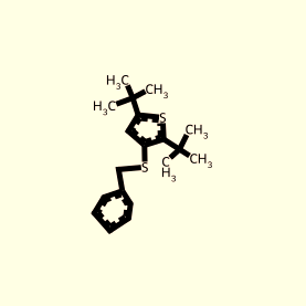 CC(C)(C)c1cc(SCc2ccccc2)c(C(C)(C)C)s1